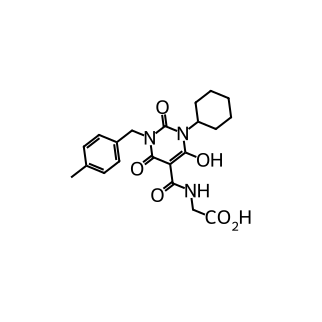 Cc1ccc(Cn2c(=O)c(C(=O)NCC(=O)O)c(O)n(C3CCCCC3)c2=O)cc1